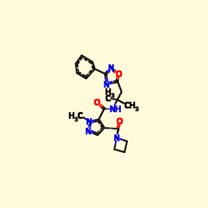 Cn1ncc(C(=O)N2CCC2)c1C(=O)NC(C)(C)Cc1nc(-c2ccccc2)no1